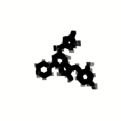 Cc1cc(Nc2cc(N3CCOCC3)n3nc(C)c(Cc4ccc(Cl)cc4F)c3n2)n[nH]1